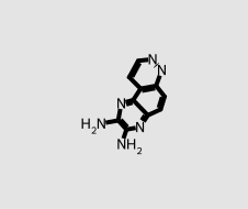 Nc1nc2ccc3nnccc3c2nc1N